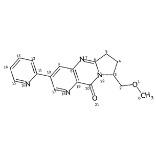 COCC1CCc2nc3cc(-c4ccccn4)cnc3c(=O)n21